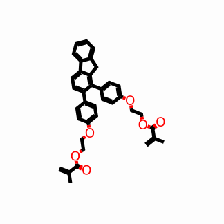 C=C(C)C(=O)OCCOc1ccc(-c2ccc3c(c2-c2ccc(OCCOC(=O)C(=C)C)cc2)Cc2ccccc2-3)cc1